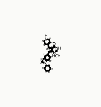 Cl.O=c1[nH]cnc2c(-c3ccc4c(c3)ncn4C3CCCCC3)sc(C3=CCNCC3)c12